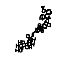 O=C(/C=C/C1CN(S(=O)(=O)c2ccc(Cl)c(COC3(c4cnccc4-c4ccccc4OC4CC4)CC3)c2)C1)NC[C@H](O)[C@@H](O)[C@H](O)[C@H](O)CO